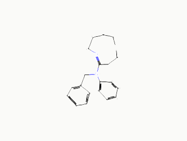 c1ccc(CN(/C2=N\CCCCCCC2)c2ccccc2)cc1